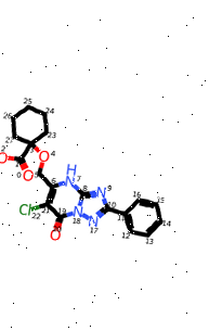 O=C(O)C1(OCc2[nH]c3nc(-c4ccccc4)nn3c(=O)c2Cl)CCCCC1